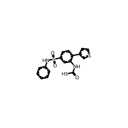 O=C(S)Nc1cc(S(=O)(=O)Nc2ccccc2)ccc1-c1ccsc1